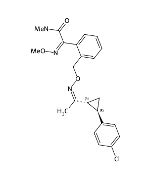 CNC(=O)C(=NOC)c1ccccc1CON=C(C)[C@@H]1C[C@H]1c1ccc(Cl)cc1